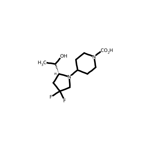 CC(O)[C@H]1CC(F)(F)CN1C1CCN(C(=O)O)CC1